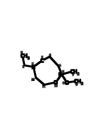 CCN1CCC[Si](C)(OC)OCC1